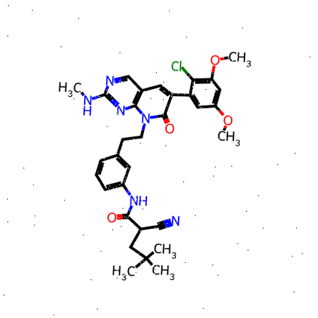 CNc1ncc2cc(-c3cc(OC)cc(OC)c3Cl)c(=O)n(CCc3cccc(NC(=O)C(C#N)CC(C)(C)C)c3)c2n1